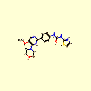 COc1cnc(-c2ccc(NC(=O)Nc3nccs3)cc2)nc1N1CCOCC1